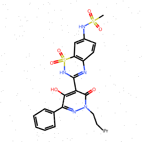 CC(C)CCn1nc(-c2ccccc2)c(O)c(C2=Nc3ccc(NS(C)(=O)=O)cc3S(=O)(=O)N2)c1=O